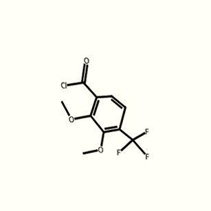 COc1c(C(=O)Cl)ccc(C(F)(F)F)c1OC